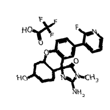 CN1C(=O)C2(N=C1N)c1cc(-c3cccnc3F)ccc1OC1CC(O)CCC12.O=C(O)C(F)(F)F